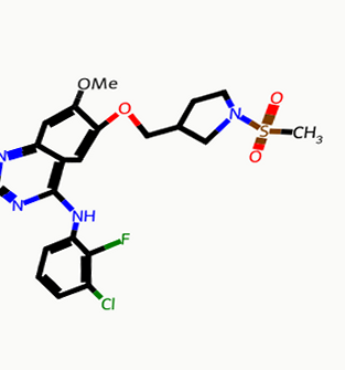 COc1cc2ncnc(Nc3cccc(Cl)c3F)c2cc1OCC1CCN(S(C)(=O)=O)C1